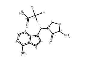 Nc1nccc2c(CN3CCC(N)C3=O)csc12.O=C(O)C(F)(F)F